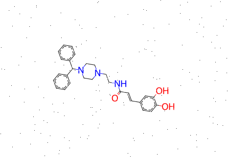 O=C(C=Cc1ccc(O)c(O)c1)NCCN1CCN(C(c2ccccc2)c2ccccc2)CC1